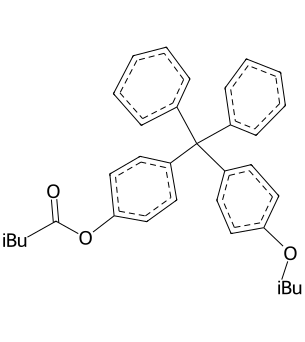 CCC(C)Oc1ccc(C(c2ccccc2)(c2ccccc2)c2ccc(OC(=O)C(C)CC)cc2)cc1